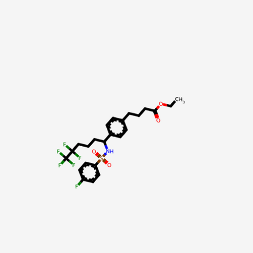 CCOC(=O)CCCc1ccc(C(CCCC(F)(F)C(F)(F)F)NS(=O)(=O)c2ccc(F)cc2)cc1